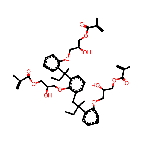 C=C(C)C(=O)OCC(O)COc1ccccc1C(C)(CC)Cc1cccc(C(C)(CC)c2ccccc2OCC(O)COC(=O)C(=C)C)c1OCC(O)COC(=O)C(=C)C